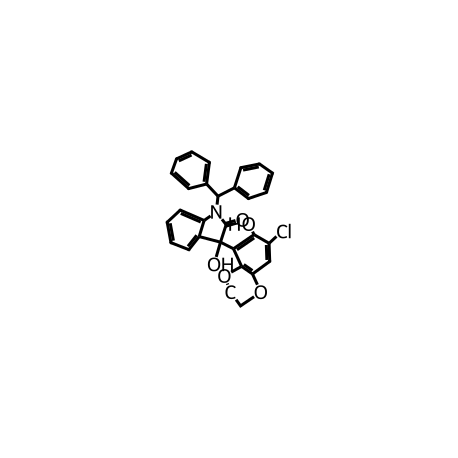 O=C1N(C(c2ccccc2)c2ccccc2)c2ccccc2C1(O)c1c(O)c(Cl)cc2c1OCCO2